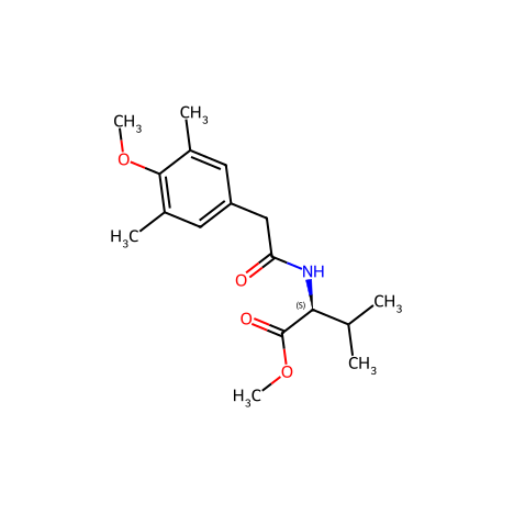 COC(=O)[C@@H](NC(=O)Cc1cc(C)c(OC)c(C)c1)C(C)C